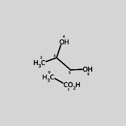 CC(=O)O.CC(O)CO